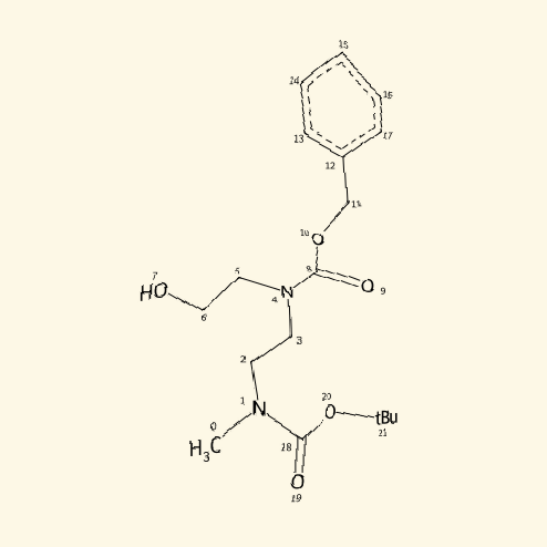 CN(CCN(CCO)C(=O)OCc1ccccc1)C(=O)OC(C)(C)C